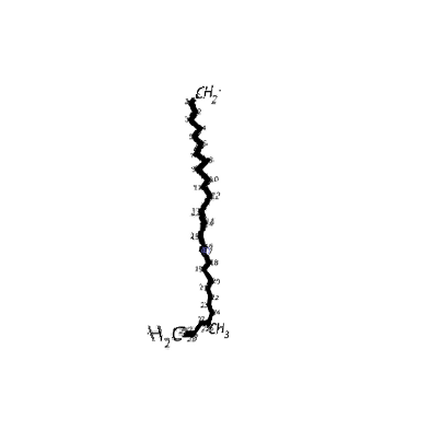 [CH2]CCCCCCCCCCCCCCC/C=C/CCCCCCCC(C)CC[CH2]